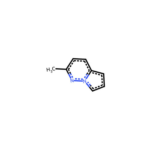 Cc1ccc2cccn2n1